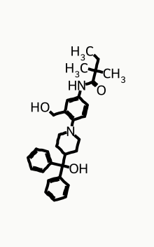 CCC(C)(C)C(=O)Nc1ccc(N2CCC(C(O)(c3ccccc3)c3ccccc3)CC2)c(CO)c1